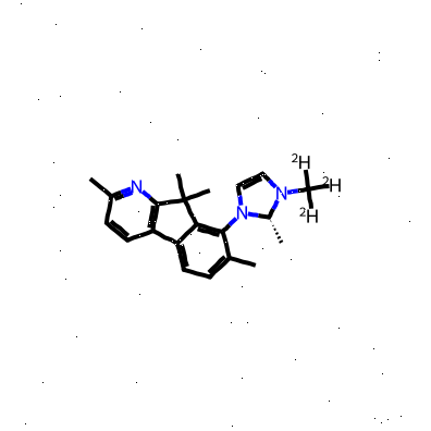 [2H]C([2H])([2H])N1C=CN(c2c(C)ccc3c2C(C)(C)c2nc(C)ccc2-3)[C@H]1C